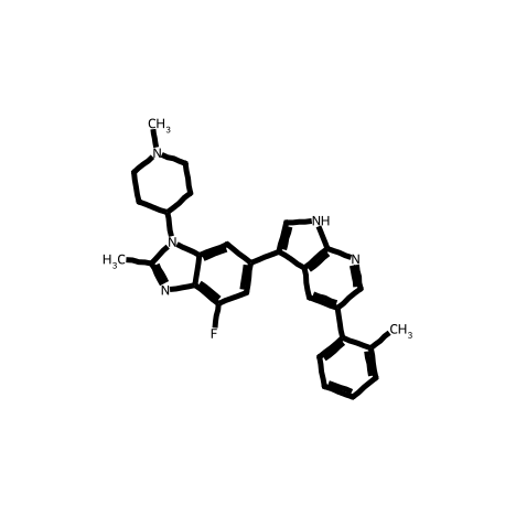 Cc1ccccc1-c1cnc2[nH]cc(-c3cc(F)c4nc(C)n(C5CCN(C)CC5)c4c3)c2c1